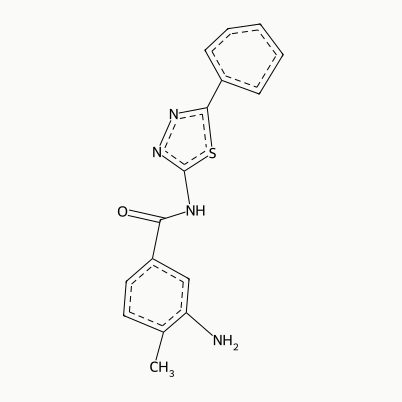 Cc1ccc(C(=O)Nc2nnc(-c3ccccc3)s2)cc1N